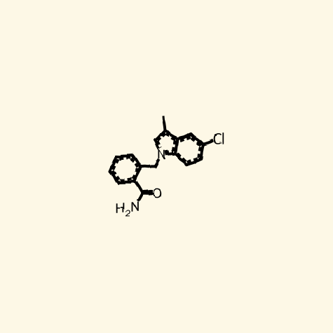 Cc1cn(Cc2ccccc2C(N)=O)c2ccc(Cl)cc12